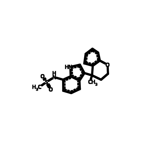 CC1(c2c[nH]c3c(NS(C)(=O)=O)cccc23)CCOc2ccccc21